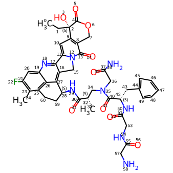 CC[C@@]1(O)C(=O)OCc2c1cc1n(c2=O)Cc2c-1nc1cc(F)c(C)c3c1c2[C@@H](NC(=O)[C@@H](C)CN(CC(N)=O)C(=O)[C@H](Cc1ccccc1)NC(=O)CNC(=O)CN)CC3